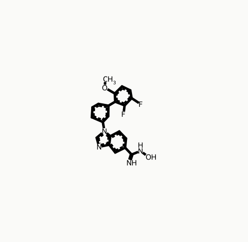 COc1ccc(F)c(F)c1-c1cccc(-n2cnc3cc(C(=N)NO)ccc32)c1